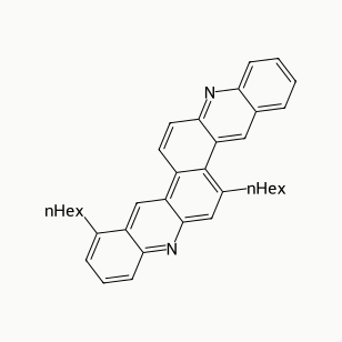 CCCCCCc1cccc2nc3cc(CCCCCC)c4c5cc6ccccc6nc5ccc4c3cc12